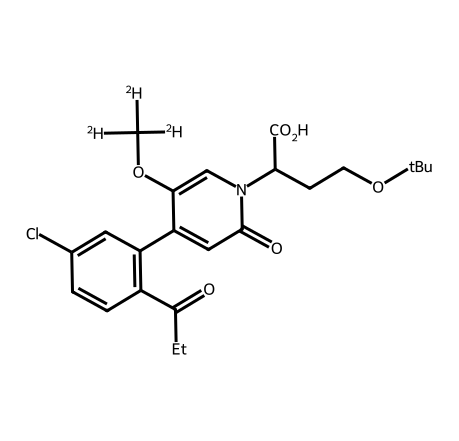 [2H]C([2H])([2H])Oc1cn(C(CCOC(C)(C)C)C(=O)O)c(=O)cc1-c1cc(Cl)ccc1C(=O)CC